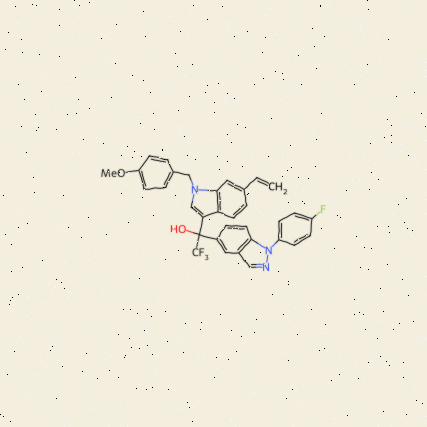 C=Cc1ccc2c(C(O)(c3ccc4c(cnn4-c4ccc(F)cc4)c3)C(F)(F)F)cn(Cc3ccc(OC)cc3)c2c1